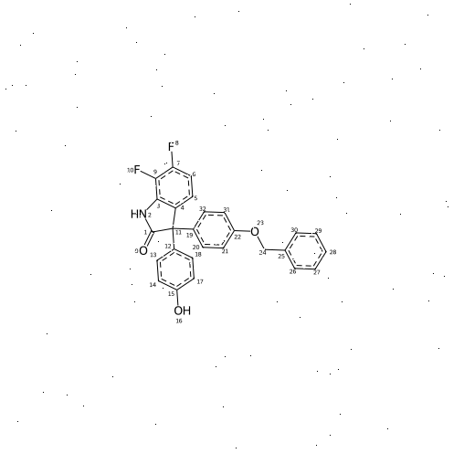 O=C1Nc2c(ccc(F)c2F)C1(c1ccc(O)cc1)c1ccc(OCc2ccccc2)cc1